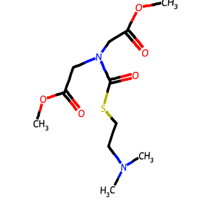 COC(=O)CN(CC(=O)OC)C(=O)SCCN(C)C